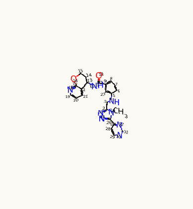 Cn1c(CNc2cccc(C(=O)NC3CCOc4ncccc43)c2)nnc1-c1ccncn1